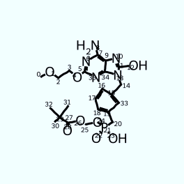 COCCOc1nc(N)c2nc(O)n(Cc3cccc(CP(=O)(O)OCOC(=O)C(C)(C)C)c3)c2n1